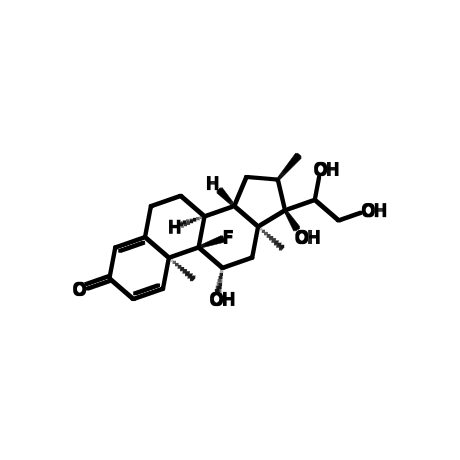 C[C@@H]1C[C@H]2[C@@H]3CCC4=CC(=O)C=C[C@]4(C)[C@@]3(F)[C@@H](O)C[C@]2(C)[C@@]1(O)C(O)CO